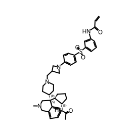 C=CC(=O)Nc1cccc(S(=O)(=O)c2ccc(N3CC(CN4CCC([C@@]5([C@H]6CCC[C@@H]6NC(C)=O)CN(C)Cc6ccccc65)CC4)C3)cc2)c1